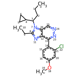 CCCC(C1CC1)n1c(CC)nc2c(-c3ccc(OC)cc3Cl)nncc21